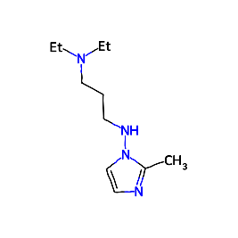 CCN(CC)CCCNn1ccnc1C